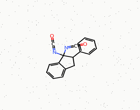 O=C=NC1(N=C=O)c2ccccc2CC1c1ccccc1